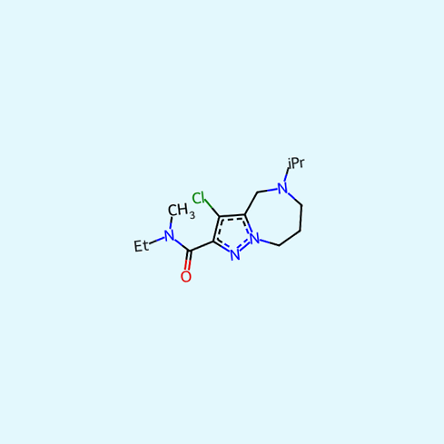 CCN(C)C(=O)c1nn2c(c1Cl)CN(C(C)C)CCC2